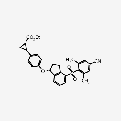 CCOC(=O)[C@H]1C[C@@H]1c1ccc(O[C@@H]2CCc3c2cccc3S(=O)(=O)c2c(C)cc(C#N)cc2C)cc1